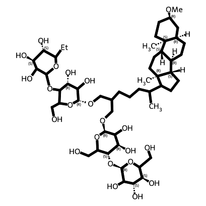 CCC1OC(OC2C(CO)O[C@@H](OCC(CCCC(C)C3CC[C@H]4[C@@H]5CC[C@@H]6C[C@H](OC)CC[C@]6(C)[C@H]5CC[C@]34C)CO[C@@H]3OC(CO)[C@@H](O[C@H]4OC(CO)[C@@H](O)[C@H](O)C4O)[C@H](O)C3O)C(O)[C@H]2O)C(O)[C@@H](O)[C@@H]1O